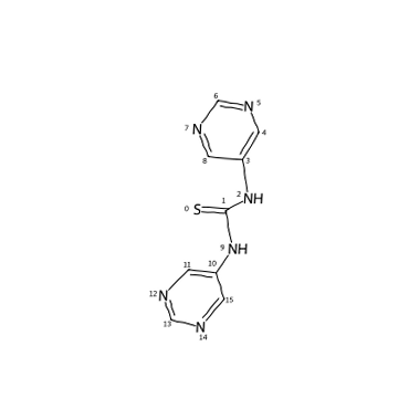 S=C(Nc1cncnc1)Nc1cncnc1